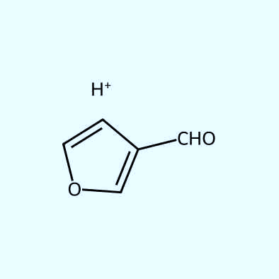 O=Cc1ccoc1.[H+]